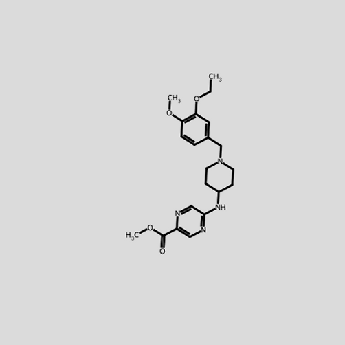 CCOc1cc(CN2CCC(Nc3cnc(C(=O)OC)cn3)CC2)ccc1OC